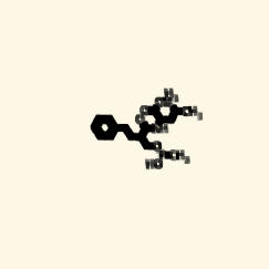 CC(C)CC(NC(=O)C(CCc1ccccc1)COP(C)O)C(=O)O